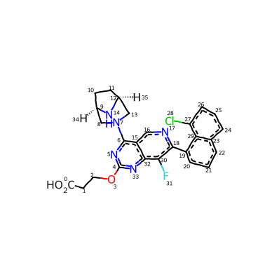 O=C(O)CCOc1nc(N2C[C@H]3CC[C@@H](C2)N3)c2cnc(-c3cccc4cccc(Cl)c34)c(F)c2n1